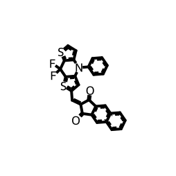 O=C1C(=Cc2cc3c(s2)C(F)(F)c2sccc2N3c2ccccc2)C(=O)c2cc3ccccc3cc21